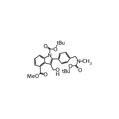 COC(=O)c1cccc2c1c(CO)c(-c1ccc(CN(C)C(=O)OC(C)(C)C)cc1)n2C(=O)OC(C)(C)C